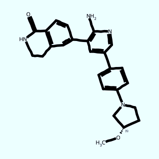 CO[C@H]1CCN(c2ccc(-c3cnc(N)c(-c4ccc5c(c4)CCNC5=O)c3)cc2)C1